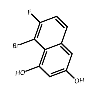 Oc1cc(O)c2c(Br)c(F)ccc2c1